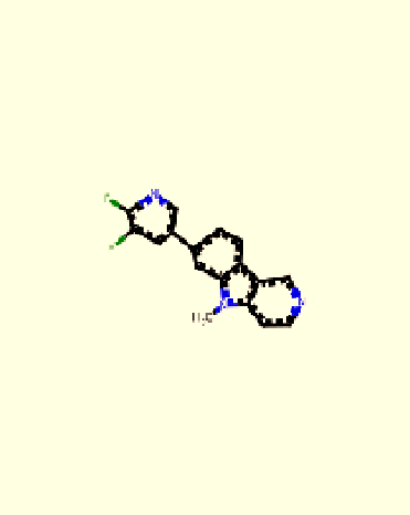 Cn1c2ccncc2c2ccc(-c3cnc(F)c(F)c3)cc21